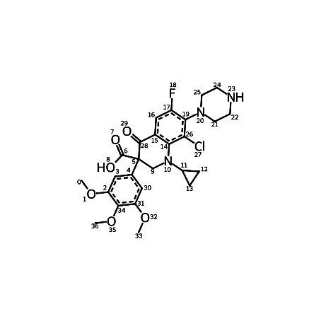 COc1cc(C2(C(=O)O)CN(C3CC3)c3c(cc(F)c(N4CCNCC4)c3Cl)C2=O)cc(OC)c1OC